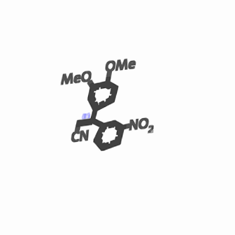 COc1ccc(/C(=C/C#N)c2cccc([N+](=O)[O-])c2)cc1OC